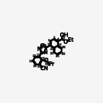 CCOC(O)c1ccc(-c2nc(-c3cccc(C#N)c3OC(C)C)no2)c2ccccc12